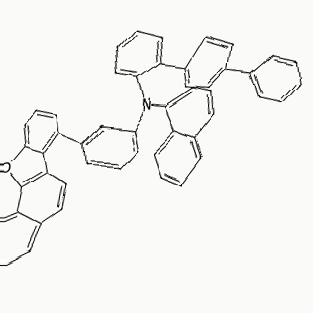 c1ccc(-c2ccc(-c3ccccc3N(c3cccc(-c4cccc5oc6c7ccccc7ccc6c45)c3)c3cccc4ccccc34)cc2)cc1